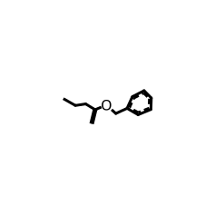 C=C(CCC)OCc1ccccc1